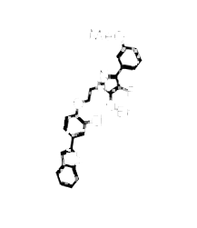 CCOc1c(F)c(-c2cccc(OC)c2)nn1CCOc1ccc(-c2cc3ccccc3s2)cc1Cl